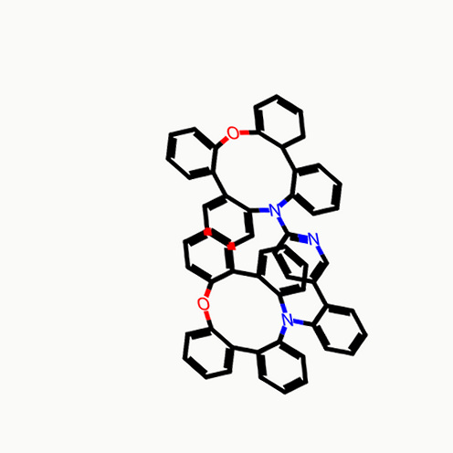 C1=CCC2C(=C1)Oc1ccccc1-c1ccccc1N(c1ccc(-c3ccccc3N3c4ccccc4-c4ccccc4Oc4ccccc4-c4ccccc43)cn1)c1ccccc12